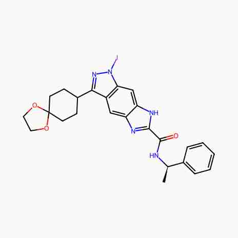 C[C@@H](NC(=O)c1nc2cc3c(C4CCC5(CC4)OCCO5)nn(I)c3cc2[nH]1)c1ccccc1